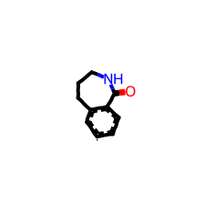 O=C1NCCCc2c[c]ccc21